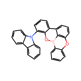 c1ccc2c(c1)Oc1cccc3c1B2Oc1c-3cccc1-n1c2ccccc2c2ccccc21